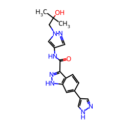 CC(C)(O)Cn1cc(NC(=O)c2n[nH]c3cc(-c4cn[nH]c4)ccc23)cn1